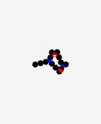 c1ccc(-c2ccc(-c3ccc(N(c4ccc(-c5ccc(-c6ccccc6)cc5)cc4)c4ccc(-c5cccc6c5oc5c(-c7ccc(-c8ccc9c(c8)c8ccccc8n9-c8ccccc8)cc7)cccc56)cc4)cc3)cc2)cc1